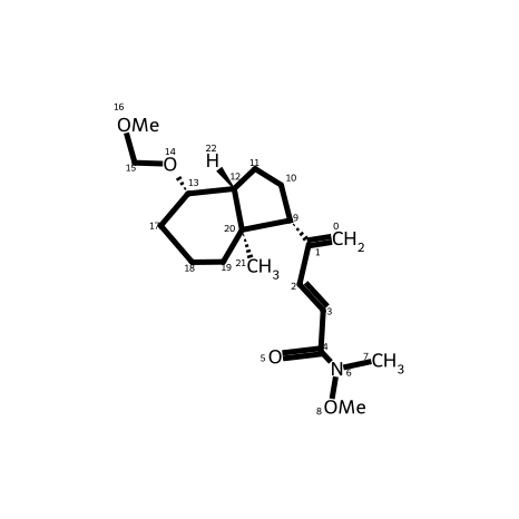 C=C(/C=C/C(=O)N(C)OC)[C@H]1CC[C@H]2[C@@H](OCOC)CCC[C@]12C